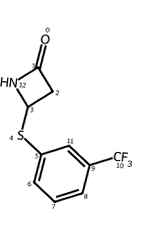 O=C1CC(Sc2cccc(C(F)(F)F)c2)N1